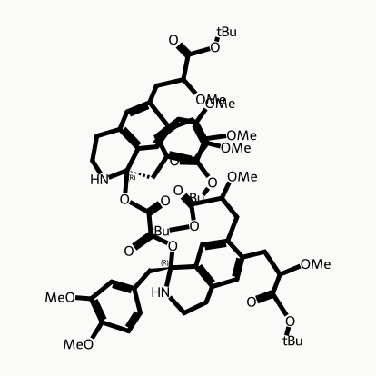 COc1ccc(C[C@]2(OC(=O)C(=O)O[C@@]3(Cc4ccc(OC)c(OC)c4)NCCc4cc(CC(OC)C(=O)OC(C)(C)C)c(CC(OC)C(=O)OC(C)(C)C)cc43)NCCc3cc(CC(OC)C(=O)OC(C)(C)C)c(CC(OC)C(=O)OC(C)(C)C)cc32)cc1OC